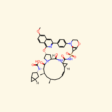 COc1ccc2c(O[C@@H]3C[C@H]4C(=O)N[C@]5(C(=O)NS(=O)(=O)C6CC6)C[C@H]5/C=C\CC[C@@H](C)C[C@@H](C)[C@H](N(C(=O)O)[C@H]5CC6C[C@H]6C5)C(=O)N4C3)nc(-c3ccc(N4CCOCC4)cc3)cc2c1